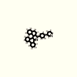 c1cncc(-c2ccc(-c3nc4c5ccccc5c5ccccc5c4c4c3ccc3ccccc34)cc2)c1